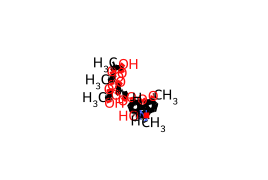 COc1ccc2c3c1O[C@@H]1C(OC(=O)C[C@H](OC(=O)[C@H](C)O)C(=O)O[C@@H](C)C(=O)O[C@@H](C)C(=O)O)=CC[C@]4(O)[C@H](C2)N(C)CC[C@@]314